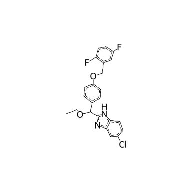 CCOC(c1ccc(OCc2cc(F)ccc2F)cc1)c1nc2cc(Cl)ccc2[nH]1